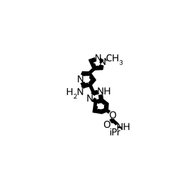 CC(C)NC(=O)Oc1ccc2nc(-c3cc(-c4cnn(C)c4)cnc3N)[nH]c2c1